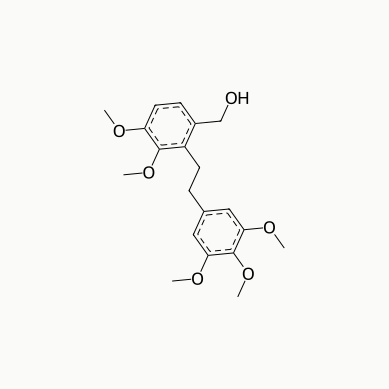 COc1cc(CCc2c(CO)ccc(OC)c2OC)cc(OC)c1OC